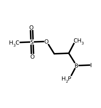 CC(COS(C)(=O)=O)B(P)I